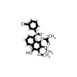 COc1c(OC)c(OC(C)=O)c2c([S+]([O-])c3cccc(Cl)c3)cccc2c1O